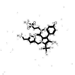 CCc1cc(Cn2c(C(=O)N(C)CCS(C)(=O)=O)c(-c3ccc(Cl)cc3)c(C)c2C(F)(F)F)on1